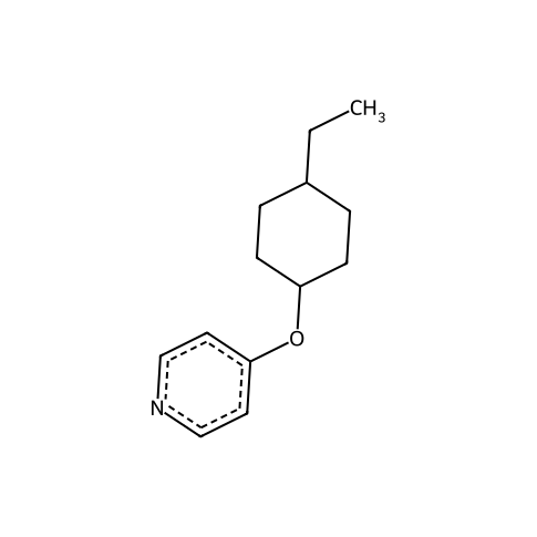 CCC1CCC(Oc2ccncc2)CC1